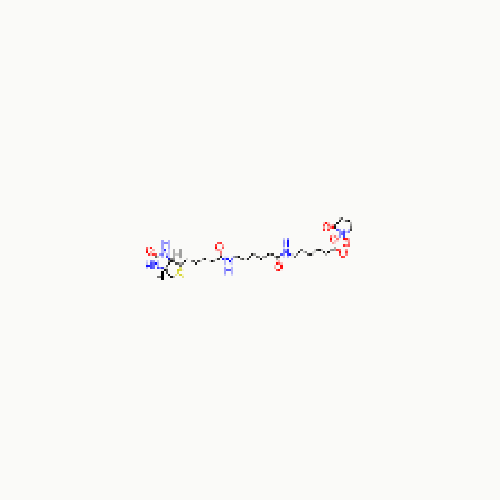 O=C(CCCCCNC(=O)CCCCC1SC[C@@H]2NC(=O)N[C@H]12)NCCCCCC(=O)O[N+]1([O-])CCCC1=O